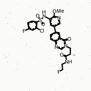 COc1ncc(-c2ccc3ncn(C[C@H](C)C(=O)NCCF)c(=O)c3c2)cc1NS(=O)(=O)c1ccc(F)cc1Cl